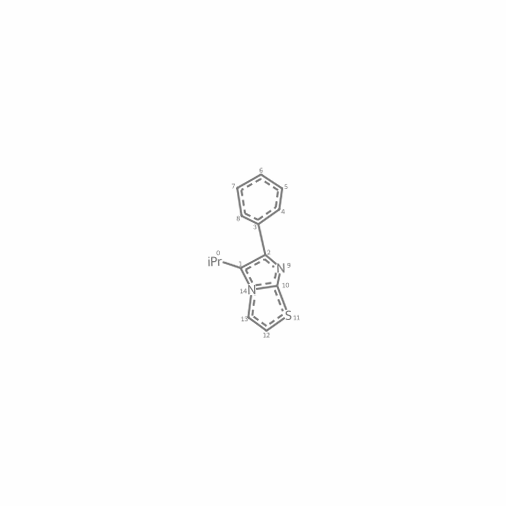 CC(C)c1c(-c2ccccc2)nc2sccn12